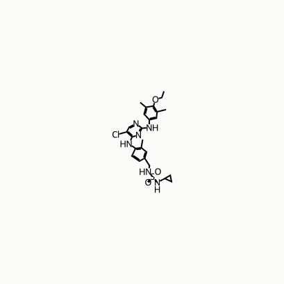 CCOc1c(C)cc(Nc2ncc(Cl)c(Nc3ccc(CNS(=O)(=O)NC4CC4)cc3C)n2)cc1C